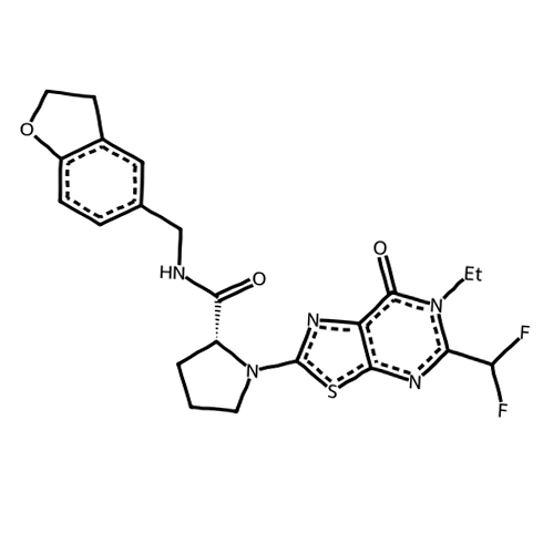 CCn1c(C(F)F)nc2sc(N3CCC[C@@H]3C(=O)NCc3ccc4c(c3)CCO4)nc2c1=O